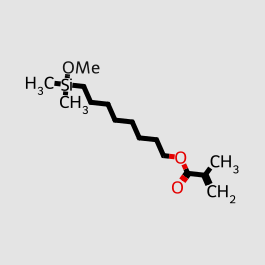 C=C(C)C(=O)OCCCCCCCC[Si](C)(C)OC